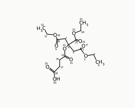 CCOC(=O)CC(CC(=O)OCC)(OC(=O)CCC(=O)O)C(=O)OCC